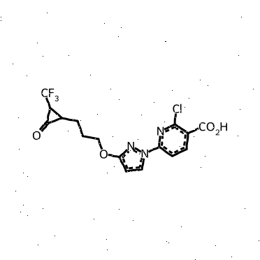 O=C(O)c1ccc(-n2ccc(OCCCC3C(=O)C3C(F)(F)F)n2)nc1Cl